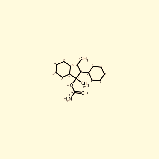 CCC(C1CCCCC1)C(C)(OC(N)=O)C1CCCCC1